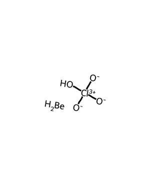 [BeH2].[O-][Cl+3]([O-])([O-])O